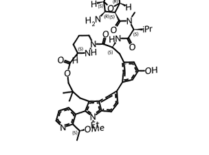 CCn1c(-c2cccnc2[C@H](C)OC)c2c3cc(ccc31)-c1cc(O)cc(c1)C[C@H](NC(=O)[C@H](C(C)C)N(C)C(=O)[C@H]1[C@@H](N)[C@@H]3CC[C@H]1O3)C(=O)N1CCC[C@H](N1)C(=O)OCC(C)(C)C2